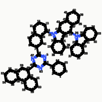 c1ccc(-c2nc(-c3ccc4cccc(-n5c6ccccc6c6c(-n7c8ccccc8c8ccccc87)c7ccccc7cc65)c4c3)nc(-c3cc4ccccc4c4ccccc34)n2)cc1